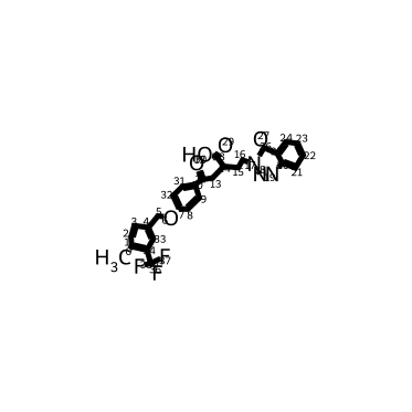 Cc1ccc(COc2ccc(C(=O)CC(CCn3nnc4ccccc4c3=O)C(=O)O)cc2)cc1C(F)(F)F